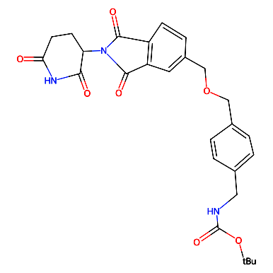 CC(C)(C)OC(=O)NCc1ccc(COCc2ccc3c(c2)C(=O)N(C2CCC(=O)NC2=O)C3=O)cc1